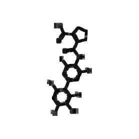 [2H]c1cc([2H])c(-c2cc([2H])c(NC(=O)C3=C(C(=O)O)CCC3)c(F)c2)c([2H])c1O